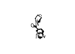 O=C(c1ccc2ncnn2c1)N1CCOCC1